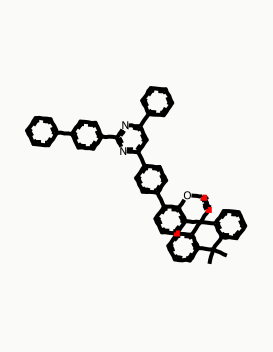 CC1(C)c2ccccc2C2(c3ccccc3Oc3c(-c4ccc(-c5cc(-c6ccccc6)nc(-c6ccc(-c7ccccc7)cc6)n5)cc4)cccc32)c2ccccc21